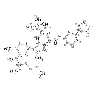 Cc1ccc(-c2c(C)nn3c(NCc4cccc(-n5cccn5)c4)cc(C(C)(C)O)nc23)cc1C(=O)N(C)CCCO